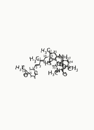 CC(/C=C/[C@@H]1C[C@]2(CCO1)OC2C)=C\C[C@@H]1O[C@H](C)[C@H](NC(=O)/C=C\[C@H](C)OC(=O)N(C)CCS)C[C@@H]1C